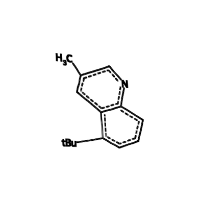 Cc1cnc2cccc(C(C)(C)C)c2c1